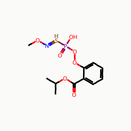 CON=[SH]P(=O)(O)OOc1ccccc1C(=O)OC(C)C